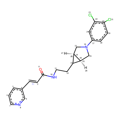 O=C(/C=C/c1cccnc1)NCCC1[C@H]2CN(c3ccc(Cl)c(Cl)c3)C[C@@H]12